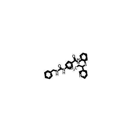 O=C(O)CC(Sc1ccccc1NC(=O)c1ccc(NC(=O)NCc2ccccc2)cc1)c1cccnc1